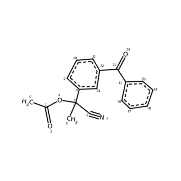 CC(=O)OC(C)(C#N)c1cccc(C(=O)c2ccccc2)c1